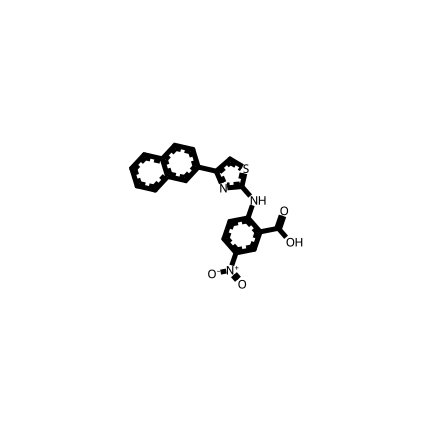 O=C(O)c1cc([N+](=O)[O-])ccc1Nc1nc(-c2ccc3ccccc3c2)cs1